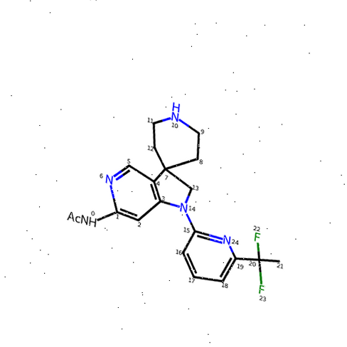 CC(=O)Nc1cc2c(cn1)C1(CCNCC1)CN2c1cccc(C(C)(F)F)n1